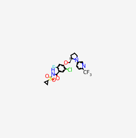 O=C(NS(=O)(=O)C1CC1)c1cc(Cl)c(OC[C@H]2CCCN2c2ccc(C(F)(F)F)nc2)cc1F